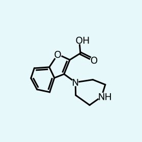 O=C(O)c1oc2ccccc2c1N1CCNCC1